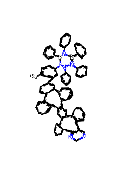 CC(C)(C)c1ccc(N2B(c3ccccc3)N(c3ccccc3)B(c3ccccc3)N(c3ccccc3)N2c2ccccc2)cc1-c1ccc2c3ccccc3c3cc4c(cc3c3ccccc3c2c1)c1ccccc1c1cncnc1c1ccccc41